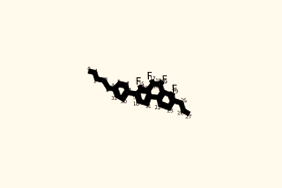 CCCCCc1ccc(-c2ccc3c(c2F)C(F)C(F)c2c-3ccc(CCC)c2F)cc1